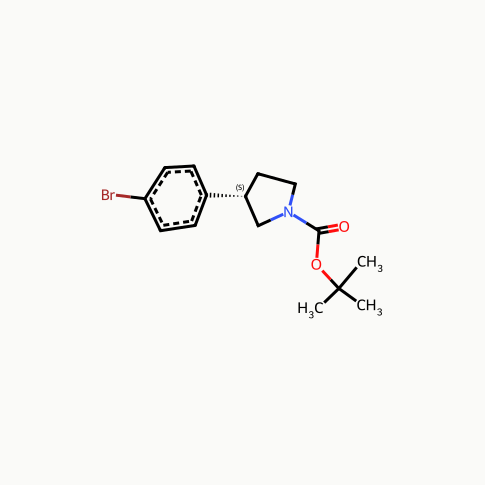 CC(C)(C)OC(=O)N1CC[C@@H](c2ccc(Br)cc2)C1